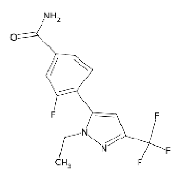 CCn1nc(C(F)(F)F)cc1-c1ccc(C(N)=O)cc1F